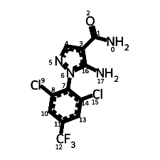 NC(=O)c1cnn(-c2c(Cl)cc(C(F)(F)F)cc2Cl)c1N